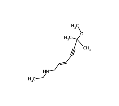 CCNC/C=C/C#CC(C)(C)OC